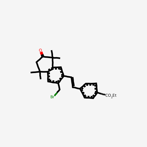 CCOC(=O)c1ccc(C=Cc2cc3c(cc2CBr)C(C)(C)CC(=O)C3(C)C)cc1